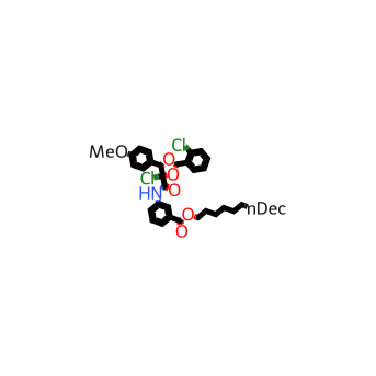 CCCCCCCCCCCCCCCCOC(=O)c1cccc(NC(=O)C(Cl)(OCc2ccccc2Cl)C(=O)c2ccc(OC)cc2)c1